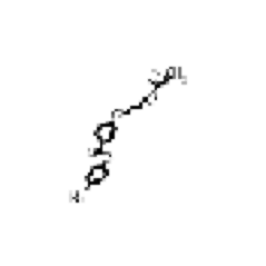 C=CC(=O)OCCCCOc1ccc(C(=O)Oc2ccc(C#N)cc2)cc1